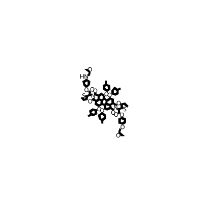 Cc1ccc(Oc2cc3c4c(cc(Oc5ccc(C)cc5)c5c6c(Oc7ccc(C)cc7)cc7c8c(cc(Oc9ccc(C)cc9)c(c2c45)c86)C(=O)N(C(C(=O)Oc2ccc(OCC4CO4)cc2)c2cccs2)C7=O)C(=O)N(C(C(=O)Oc2ccc(NCC4CO4)cc2)c2cccs2)C3=O)cc1